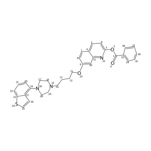 O=C(Oc1ccc2ccc(OCCCCN3CCN(c4cccc5sccc45)CC3)cc2n1)c1ccccc1